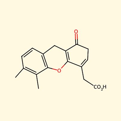 Cc1ccc2c(c1C)OC1=C(C2)C(=O)CC=C1CC(=O)O